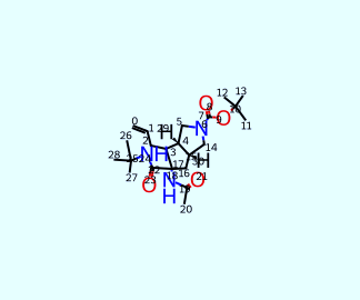 C=CCC1[C@@H]2CN(C(=O)OC(C)(C)C)C[C@@H]2CC1(NC(C)=O)C(=O)NC(C)(C)C